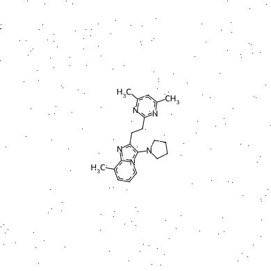 Cc1cc(C)nc(CCc2nc3c(C)cccn3c2N2CCCC2)n1